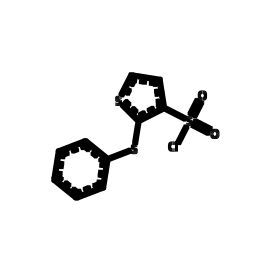 O=S(=O)(Cl)c1ccsc1Sc1ccccc1